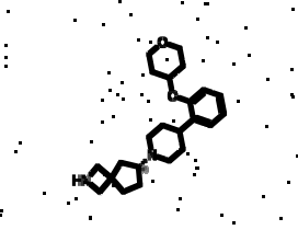 c1ccc(C2CCN([C@@H]3CCC4(CNC4)C3)CC2)c(OC2CCOCC2)c1